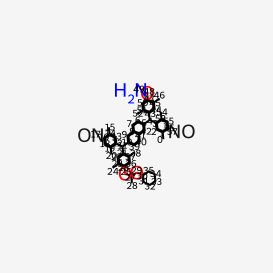 Cc1cc(C(c2ccc3cc(C(c4cc(C)c(N=O)cc4C)c4cc(C)c(OC(C)OC5CCCCC5)cc4C)ccc3c2)c2cc(C)c(ON)cc2C)c(C)cc1N=O